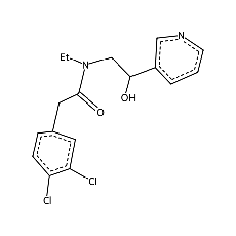 CCN(CC(O)c1cccnc1)C(=O)Cc1ccc(Cl)c(Cl)c1